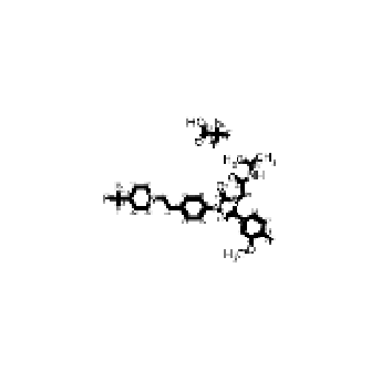 COc1cc(-c2nn(-c3ccc(CCN4CCC(C(F)(F)F)CC4)cc3)c(=O)n2CC(=O)NC(C)C)ccc1F.O=C(O)C(F)(F)F